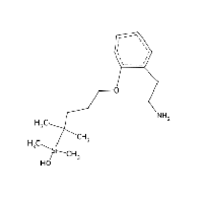 CC(C)(CCCOc1ccccc1CCN)[Si](C)(C)O